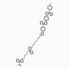 C=C(C)C(=O)OCCCCCC(=O)OCCCCCCCCOc1ccc(C(=O)Oc2ccc(OC(=O)c3ccc(C)cc3)cc2)cc1